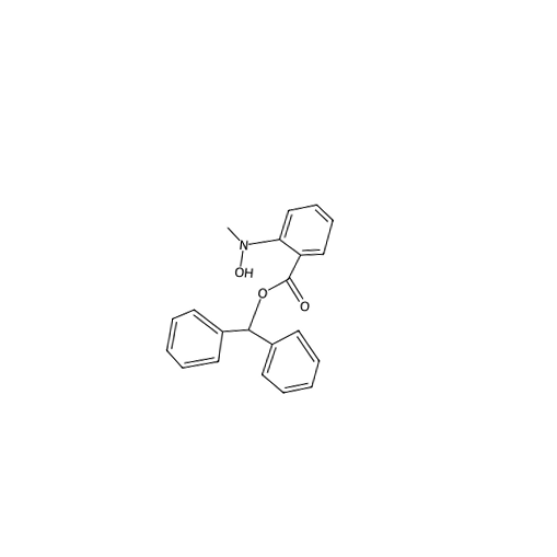 CN(O)c1ccccc1C(=O)OC(c1ccccc1)c1ccccc1